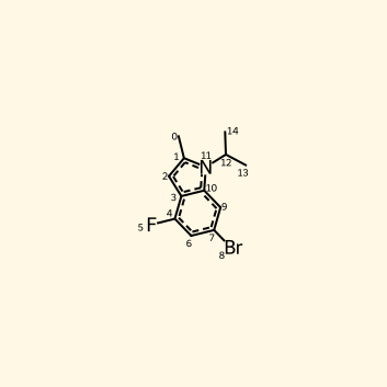 Cc1cc2c(F)cc(Br)cc2n1C(C)C